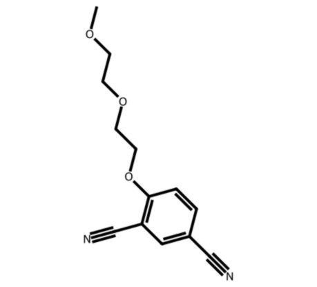 COCCOCCOc1ccc(C#N)cc1C#N